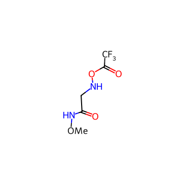 CONC(=O)CNOC(=O)C(F)(F)F